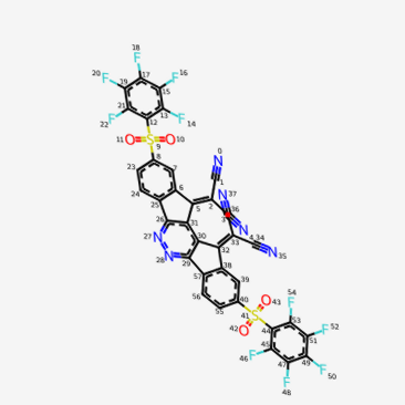 N#CC(C#N)=C1c2cc(S(=O)(=O)c3c(F)c(F)c(F)c(F)c3F)ccc2-c2nnc3c(c21)C(=C(C#N)C#N)c1cc(S(=O)(=O)c2c(F)c(F)c(F)c(F)c2F)ccc1-3